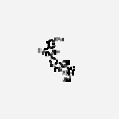 Cc1ccc(C(=O)Nc2cc(C(C)(C)C)cnc2C)cc1-n1cnc(C(=O)NCC(C)(C)C)c1